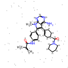 C=C(C)C(=O)Nc1ccc(-c2c(C3=CC[C@H](C(=O)N4CCCCC4)CC3)c3c(N)ncnc3n2C)cc1